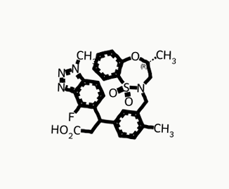 Cc1ccc(C(CC(=O)O)c2ccc3c(nnn3C)c2F)cc1CN1C[C@@H](C)Oc2ccccc2S1(=O)=O